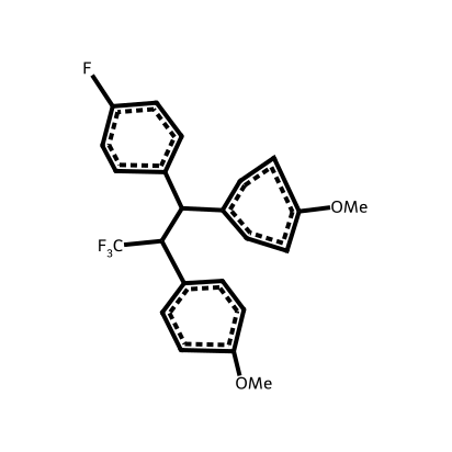 COc1ccc(C(c2ccc(F)cc2)C(c2ccc(OC)cc2)C(F)(F)F)cc1